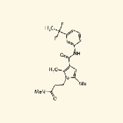 CNC(=O)CCn1c(C(C)(C)C)cc(C(=O)Nc2cccc(C(C)(F)F)c2)c1C